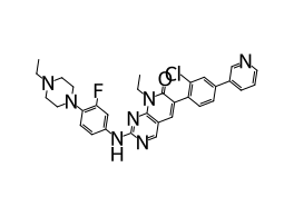 CCN1CCN(c2ccc(Nc3ncc4cc(-c5ccc(-c6cccnc6)cc5Cl)c(=O)n(CC)c4n3)cc2F)CC1